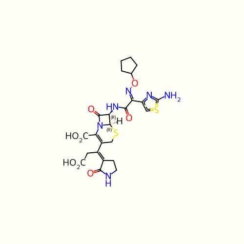 Nc1nc(C(=NOC2CCCC2)C(=O)N[C@@H]2C(=O)N3C(C(=O)O)=C(C(CC(=O)O)=C4CCNC4=O)CS[C@H]23)cs1